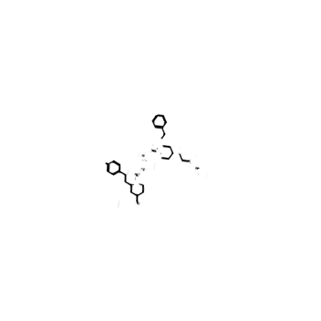 CCOC(=O)CC(=O)[C@@H]1CCN(C(=O)OC)[C@H](CCc2ccc(F)cc2)C1.COC(=O)N1CCC(C(=O)O)CC1CCc1ccc(F)cc1